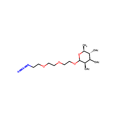 CC(=O)OC1[C@@H](OC(C)=O)C(OCCOCCOCCN=[N+]=[N-])O[C@@H](C)[C@@H]1OC(C)=O